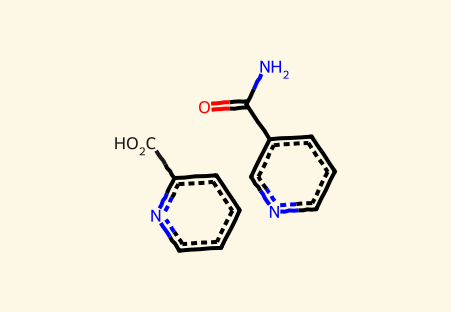 NC(=O)c1cccnc1.O=C(O)c1ccccn1